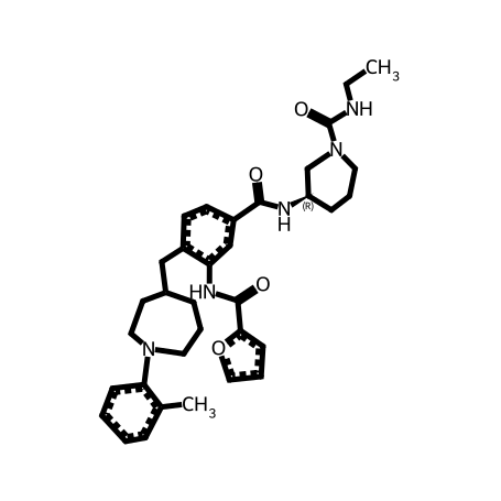 CCNC(=O)N1CCC[C@@H](NC(=O)c2ccc(CC3CCCN(c4ccccc4C)CC3)c(NC(=O)c3ccco3)c2)C1